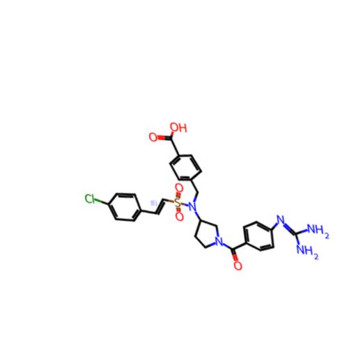 NC(N)=Nc1ccc(C(=O)N2CCC(N(Cc3ccc(C(=O)O)cc3)S(=O)(=O)/C=C/c3ccc(Cl)cc3)C2)cc1